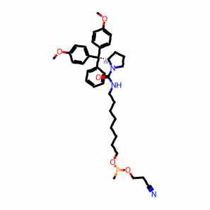 COc1ccc(C(c2ccccc2)(c2ccc(OC)cc2)[C@@H]2CCCN2C(=O)NCCCCCCCCOP(C)OCCC#N)cc1